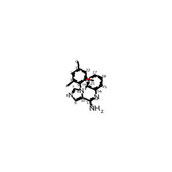 Cc1cc(C)c([N+]23C=NC=C2C(N)=Nc2cccnc23)c(C)c1